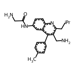 Cc1ccc(-c2c(CN)c(CC(C)C)nc3ccc(NC(=O)CN)cc23)cc1